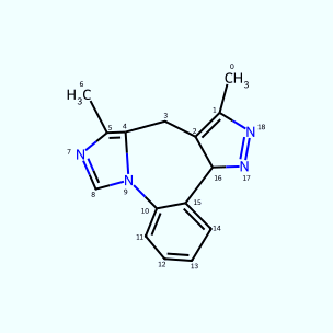 CC1=C2Cc3c(C)ncn3-c3ccccc3C2N=N1